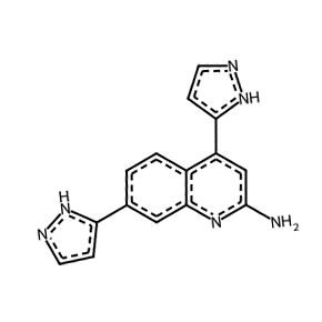 Nc1cc(-c2ccn[nH]2)c2ccc(-c3ccn[nH]3)cc2n1